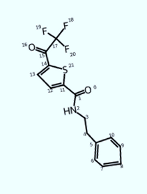 O=C(NCCc1ccccc1)c1ccc(C(=O)C(F)(F)F)s1